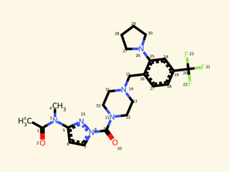 CC(=O)N(C)c1ccn(C(=O)N2CCN(Cc3ccc(C(F)(F)F)cc3N3CCCC3)CC2)n1